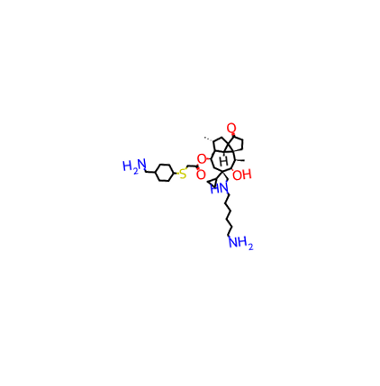 C[C@@H]1CC23C(=O)CC[C@]24[C@@H](C)[C@H](O)[C@](CNCCCCCCN)(C2CC2)C[C@@H](OC(=O)CSC2CCC(CN)CC2)[C@@]1(C)[C@H]34